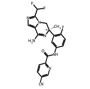 C[C@@]1(c2cc(NC(=O)c3ccc(C#N)cn3)ccc2F)Cn2c(cnc2C(F)F)C(N)=N1